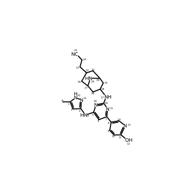 Cc1cc(Nc2cc(-c3ccc(O)nc3)nc(NC3CC4CC(CCC#N)CC(C3)N4)n2)n[nH]1